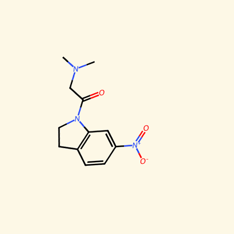 CN(C)CC(=O)N1CCc2ccc([N+](=O)[O-])cc21